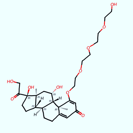 C[C@@]12C(=CC(=O)C=C1OCCOCCOCCOCCO)CC[C@@H]1[C@@H]2[C@@H](O)C[C@@]2(C)[C@H]1CC[C@]2(O)C(=O)CO